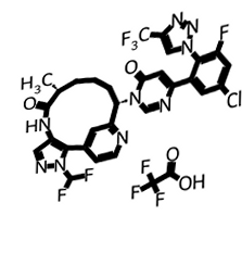 C[C@@H]1CCC[C@H](n2cnc(-c3cc(Cl)cc(F)c3-n3cc(C(F)(F)F)nn3)cc2=O)c2cc(ccn2)-c2c(cnn2C(F)F)NC1=O.O=C(O)C(F)(F)F